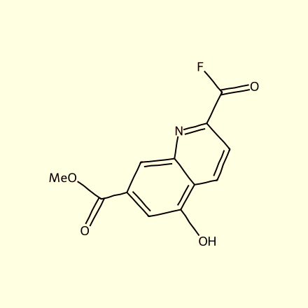 COC(=O)c1cc(O)c2ccc(C(=O)F)nc2c1